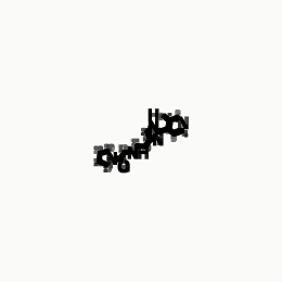 Cc1cnccc1-c1nc(CCNCC(=O)N2CCCC2)c[nH]1